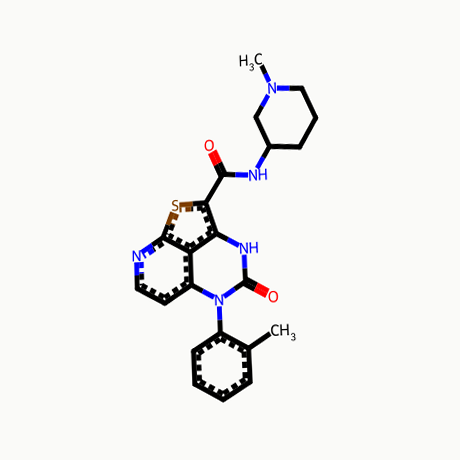 Cc1ccccc1N1C(=O)Nc2c(C(=O)NC3CCCN(C)C3)sc3nccc1c23